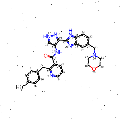 Cc1ccc(Cc2ncccc2C(=O)Nc2c[nH]nc2-c2nc3cc(CN4CCOCC4)ccc3[nH]2)cc1